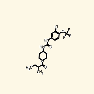 CC[C@H](C)C(=O)N1CCC(NC(=O)Nc2ccc(OC(F)(F)F)c(Cl)c2)CC1